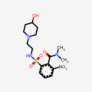 CN(C)C(=O)c1c([N+](=O)[O-])cccc1S(=O)(=O)NCCN1CCC(O)CC1